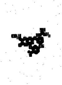 CN(C)c1ccc(C#N)cc1Oc1nc(Oc2ccccc2NC(=N)N)nc2c1NC(=O)C(CC(=O)O)O2